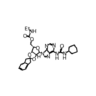 CCNC(=O)OC[C@H]1O[C@@H](n2cnc3c(NC(=O)NC4CCCCC4)ncnc32)[C@H]2OC3(Cc4ccccc4C3)OC12